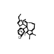 CCC1=CCC(C2(c3ccccc3)C(=[SiH2])C=CC=C3C(C)=C(C)[C]([Hf]([Cl])[Cl])=C32)=C1C